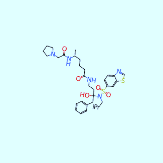 CC(C)CN(C(O)(CCNC(=O)CCCC(C)NC(=O)CN1CCCC1)Cc1ccccc1)S(=O)(=O)c1ccc2ncsc2c1